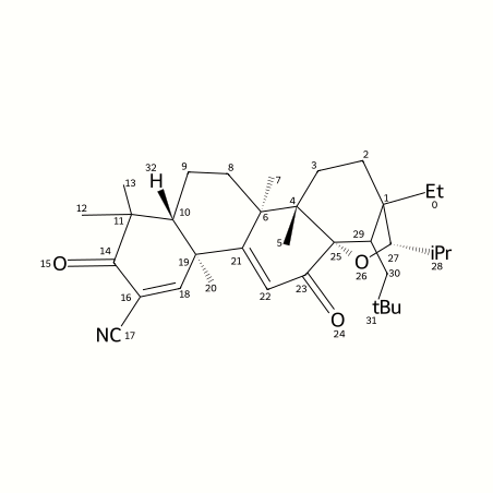 CCC12CC[C@@]3(C)[C@]4(C)CC[C@H]5C(C)(C)C(=O)C(C#N)=C[C@]5(C)C4=CC(=O)[C@]3(O[C@H]1C(C)C)C2CC(C)(C)C